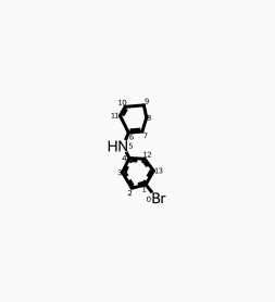 Brc1ccc(NC2=CCCC=C2)cc1